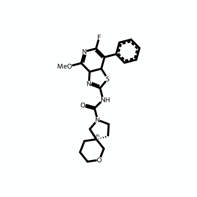 COC1=NC(F)=C(c2ccccc2)C2SC(NC(=O)N3CC[C@]4(CCCOC4)C3)=NC12